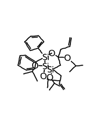 C=CCC1(OC(C)C)C[Si](CC=C)(OC(C)C)[Si](OC(C)C)(OC(C)C)[Si](c2ccccc2)(c2ccccc2)O1